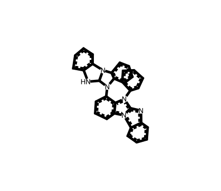 c1ccc(-n2c3c(N4c5ccccc5N5c6ccccc6NC54)cccc3n3c4ccccc4nc23)cc1